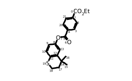 CCOC(=O)c1ccc(C(=O)Oc2ccc3c(c2)C(C)(C)CCS3)cc1